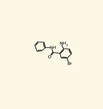 Nc1ccc(Br)cc1C(=O)Nc1ccccc1